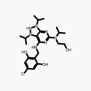 CC(C)N(CCO)c1nc(NCc2c(O)cc(Cl)cc2O)c2c(n1)N(C(C)C)NN2C(C)C